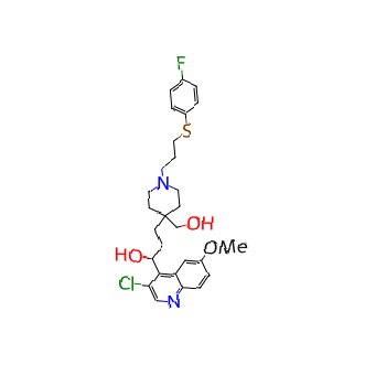 COc1ccc2ncc(Cl)c([C@@H](O)CCC3(CO)CCN(CCCSc4ccc(F)cc4)CC3)c2c1